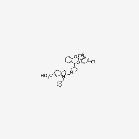 CC1(c2ccc(Cl)cc2F)Oc2ccccc2C(C2CCN(Cc3nc4ccc(C(=O)O)cc4n3C[C@@H]3CCO3)C2)O1